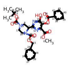 COC(=O)c1nc(C2CN(C(=O)OC(C)(C)C)CCN2C(=O)OCc2ccccc2)nc(O)c1OC(=O)c1ccccc1